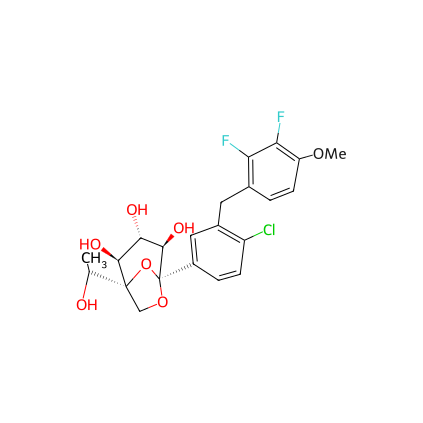 COc1ccc(Cc2cc([C@]34OC[C@](C(C)O)(O3)[C@@H](O)[C@H](O)[C@H]4O)ccc2Cl)c(F)c1F